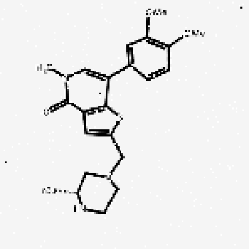 CCCC[C@@H]1CN(Cc2cc3c(=O)n(C)cc(-c4ccc(OC)c(OC)c4)c3s2)CCN1